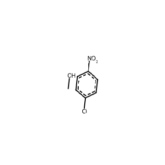 CO.O=[N+]([O-])c1ccc(Cl)cc1